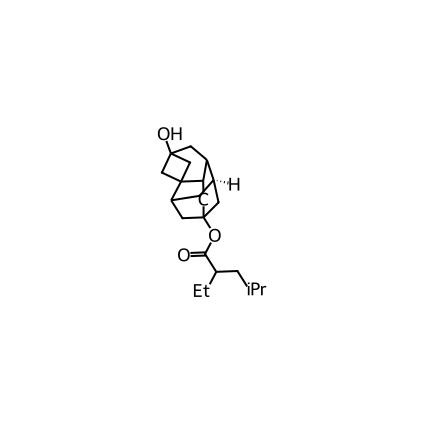 CCC(CC(C)C)C(=O)OC12CC3C[C@H](C1)C1CC4(O)CC3(C4)C1C2